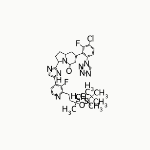 CC(C)(CCc1nccc(-c2cnc(C3CCC4CC(c5c(-n6cnnn6)ccc(Cl)c5F)=CC(=O)N43)[nH]2)c1F)O[Si](C)(C)C(C)(C)C